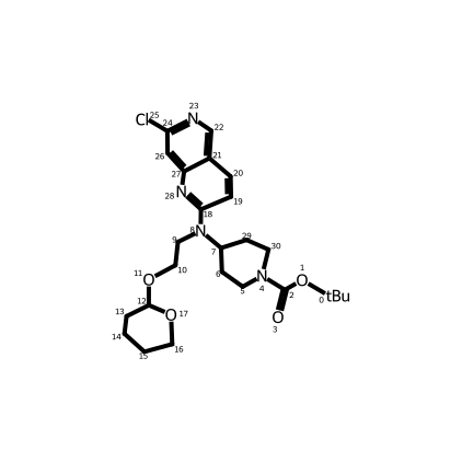 CC(C)(C)OC(=O)N1CCC(N(CCOC2CCCCO2)c2ccc3cnc(Cl)cc3n2)CC1